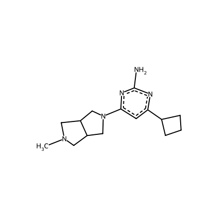 CN1CC2CN(c3cc(C4CCC4)nc(N)n3)CC2C1